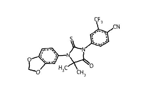 CC1(C)C(=O)N(c2ccc(C#N)c(C(F)(F)F)c2)C(=S)N1c1ccc2c(c1)OCO2